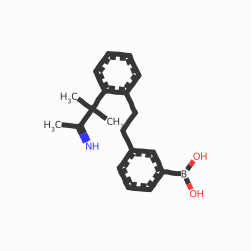 CC(=N)C(C)(C)c1ccccc1CCc1cccc(B(O)O)c1